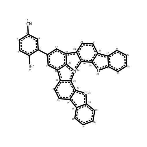 CC(C)c1ccc(C#N)cc1-c1cc2c3ccc4c5ccccc5oc4c3n3c2c(c1)c1ccc2c4ccccc4oc2c13